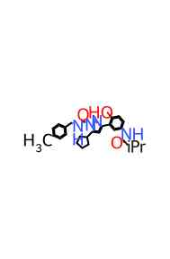 Cc1ccc(CNC(=O)n2nc(-c3cc(NC(=O)C(C)C)ccc3O)cc2C2CCCC2)cc1